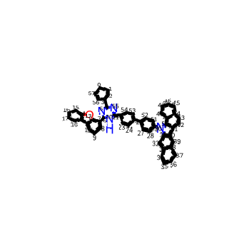 c1ccc(C2=NC(c3cccc4c3oc3ccccc34)NC(c3ccc(-c4ccc(-n5c6cc7ccccc7cc6c6ccc7ccccc7c65)cc4)cc3)=N2)cc1